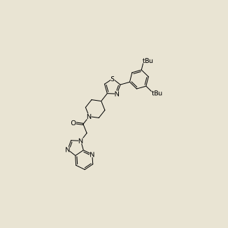 CC(C)(C)c1cc(-c2nc(C3CCN(C(=O)Cn4cnc5cccnc54)CC3)cs2)cc(C(C)(C)C)c1